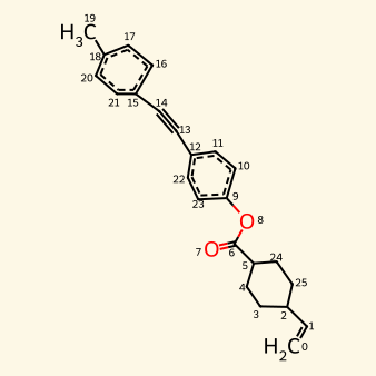 C=CC1CCC(C(=O)Oc2ccc(C#Cc3ccc(C)cc3)cc2)CC1